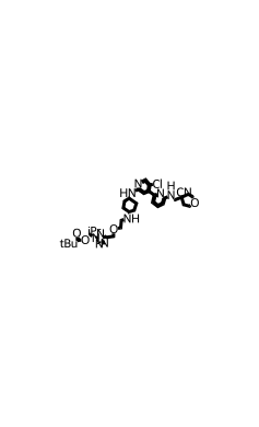 CC(C)[C@@H](OC(=O)C(C)(C)C)n1nnc(COCCN[C@H]2CC[C@H](Nc3cc(-c4cccc(NCC5(C#N)CCOCC5)n4)c(Cl)cn3)CC2)n1